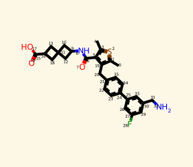 Cc1sc(C)c(C(=O)NC2CC3(C2)CC(C(=O)O)C3)c1Cc1ccc(-c2cc(F)cc(CN)c2)cc1